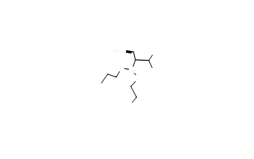 C=CC(C(C)C)[SiH](OCCC)OCCC